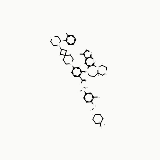 CC(C)c1ccccc1[C@@H]1COCCN1C1CC2(CCN(c3ccc(C(=O)NS(=O)(=O)c4ccc(NC[C@H]5CC[C@](C)(O)CC5)c([N+](=O)[O-])c4)c(N4CC[C@H]5COCCN5c5nc6[nH]cc(F)c6cc54)c3)CC2)C1